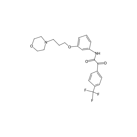 O=C(Nc1cccc(OCCCN2CCOCC2)c1)C(=O)c1ccc(C(F)(F)F)cc1